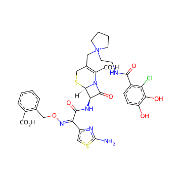 Nc1nc(/C(=N/OCc2ccccc2C(=O)O)C(=O)N[C@@H]2C(=O)N3C(C(=O)O)=C(C[N+]4(CCNC(=O)c5ccc(O)c(O)c5Cl)CCCC4)CS[C@H]23)cs1